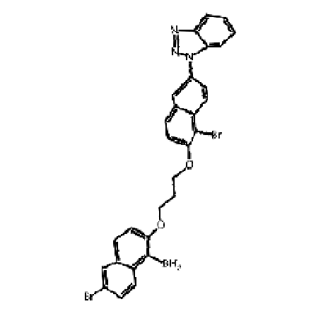 Bc1c(OCCCOc2ccc3cc(-n4nnc5ccccc54)ccc3c2Br)ccc2cc(Br)ccc12